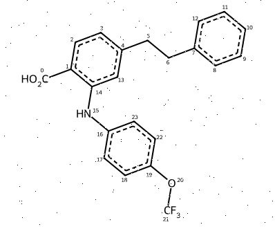 O=C(O)c1ccc(CCc2ccccc2)cc1Nc1ccc(OC(F)(F)F)cc1